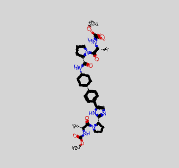 CC(C)[C@@H](NC(=O)OC(C)(C)C)C(=O)N1CCC[C@H]1C(=O)N[C@H]1CC[C@@H](c2ccc(-c3cnc([C@@H]4CCCN4C(=O)[C@H](NC(=O)OC(C)(C)C)C(C)C)[nH]3)cc2)CC1